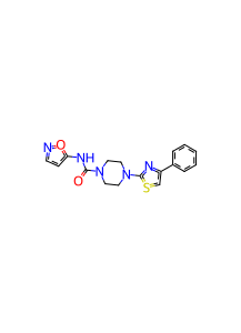 O=C(Nc1ccno1)N1CCN(c2nc(-c3ccccc3)cs2)CC1